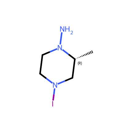 C[C@@H]1CN(I)CCN1N